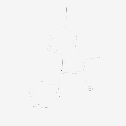 CCc1c(C)c2cc(C)ccc2n1-c1ccc(C)cc1